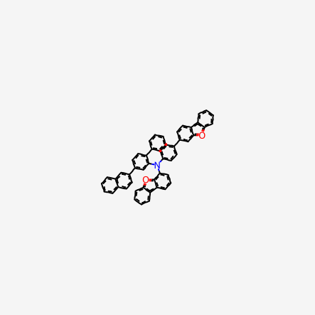 c1ccc(-c2ccc(-c3ccc4ccccc4c3)cc2N(c2ccc(-c3ccc4c(c3)oc3ccccc34)cc2)c2cccc3c2oc2ccccc23)cc1